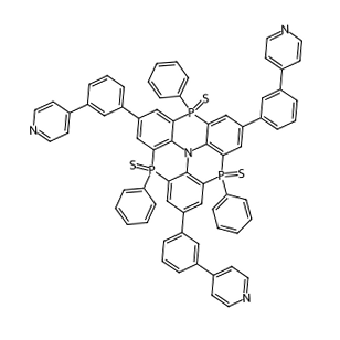 S=P1(c2ccccc2)c2cc(-c3cccc(-c4ccncc4)c3)cc3c2N2c4c1cc(-c1cccc(-c5ccncc5)c1)cc4P(=S)(c1ccccc1)c1cc(-c4cccc(-c5ccncc5)c4)cc(c12)P3(=S)c1ccccc1